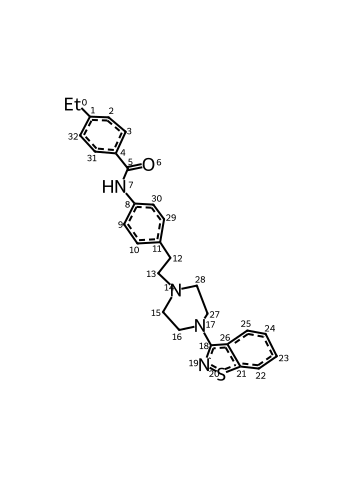 CCc1ccc(C(=O)Nc2ccc(CCN3CCN(c4nsc5ccccc45)CC3)cc2)cc1